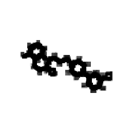 Cc1cccc2c1CCC(=O)N2CCCN1CCN(c2cccc(Cl)c2)CC1